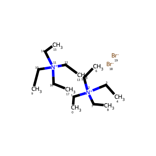 CC[N+](CC)(CC)CC.CC[N+](CC)(CC)CC.[Br-].[Br-]